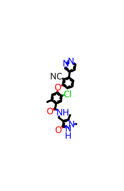 Cc1cc(Oc2cccc(-c3ccnnc3)c2C#N)c(Cl)cc1C(=O)NCc1c(C)n(C)[nH]c1=O